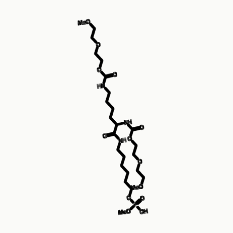 COCCOCCOC(=O)NCCCCC(NC(=O)OCCOCCOC)C(=O)NCCCCCCOP(=O)(O)OC